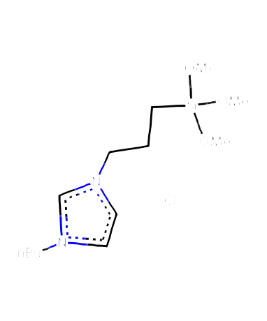 CCCCn1cc[n+](CCC[Si](OC)(OC)OC)c1.[Cl-]